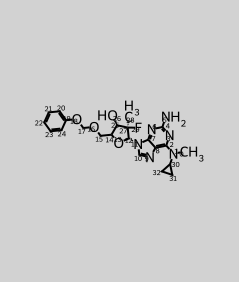 CN(c1nc(N)nc2c1ncn2[C@@H]1OC(COCOc2ccccc2)[C@@H](O)[C@@]1(C)F)C1CC1